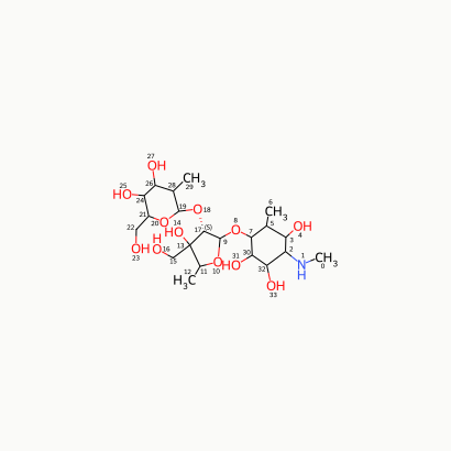 CNC1C(O)C(C)C(OC2OC(C)C(O)(CO)[C@@H]2OC2OC(CO)C(O)C(O)C2C)C(O)C1O